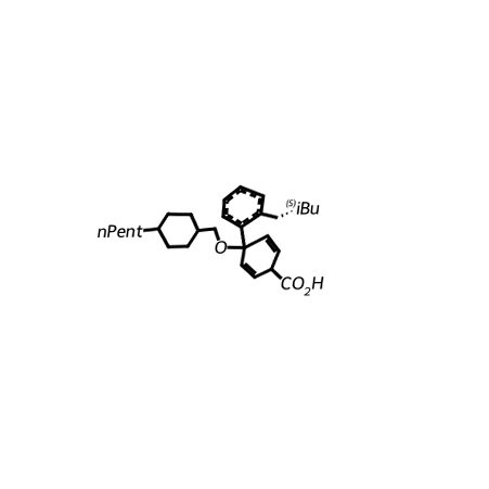 CCCCCC1CCC(COC2(c3ccccc3C[C@@H](C)CC)C=CC(C(=O)O)C=C2)CC1